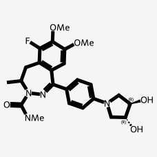 CNC(=O)N1N=C(c2ccc(N3C[C@@H](O)[C@H](O)C3)cc2)c2cc(OC)c(OC)c(F)c2CC1C